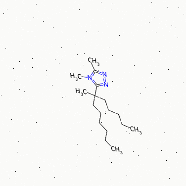 CCCCCCC(C)(CCCCC)c1nnc(C)n1C